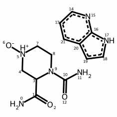 NC(=O)C1C[NH+]([O-])CCN1C(N)=O.c1cnc2[nH]ccc2c1